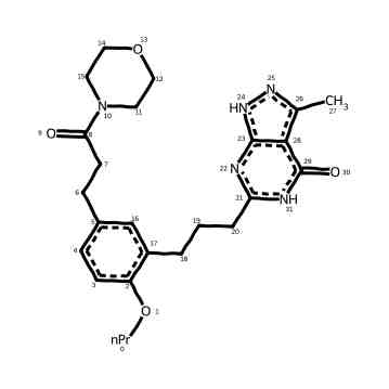 CCCOc1ccc(CCC(=O)N2CCOCC2)cc1CCCc1nc2[nH]nc(C)c2c(=O)[nH]1